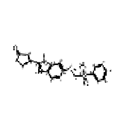 O=C1CCC(c2nc3ccc(NCS(=O)(=O)c4ccccc4)cc3[nH]2)C1